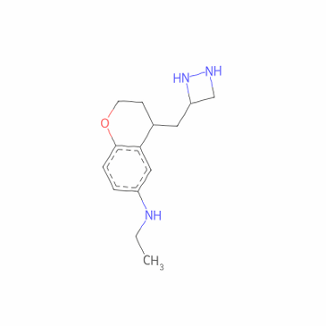 CCNc1ccc2c(c1)C(CC1CNN1)CCO2